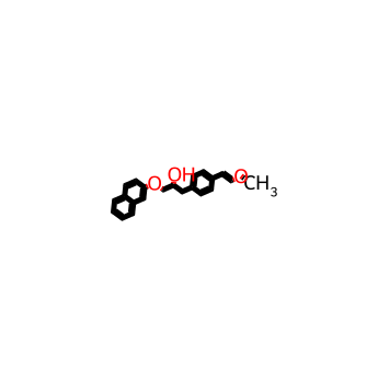 CO/C=C/c1ccc(CC(O)COc2ccc3ccccc3c2)cc1